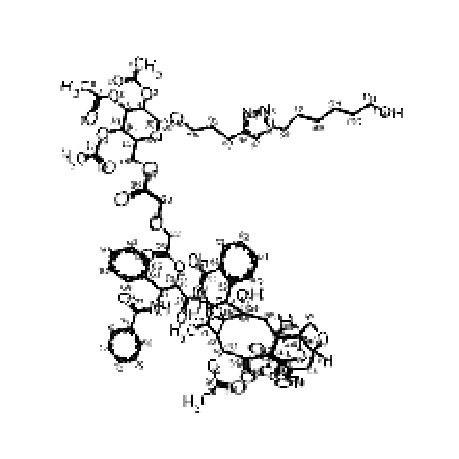 CC(=O)OC1C(OC(C)=O)[C@H](OC(C)=O)C(COC(=O)COCC(=O)O[C@@H](C(=O)OC2C(C)C3[C@@H](OC(C)=O)C(=O)[C@]4(C)C(O)C[C@H]5OC[C@@]5(OC(C)=O)[C@H]4C[C@](O)(C2c2ccccc2C(=O)O)C3(C)C)C(NC(=O)c2ccccc2)c2ccccc2)O[C@H]1OCCCc1cn(CCCCCCO)nn1